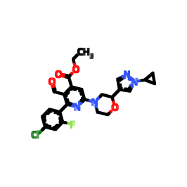 CCOC(=O)c1cc(N2CCOC(c3cnn(C4CC4)c3)C2)nc(-c2ccc(Cl)cc2F)c1C=O